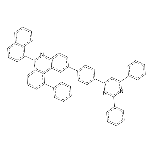 c1ccc(-c2cc(-c3ccc(-c4ccc5nc(-c6cccc7ccccc67)c6cccc(-c7ccccc7)c6c5c4)cc3)nc(-c3ccccc3)n2)cc1